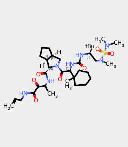 C=CCNC(=O)C(=O)C(C)NC(=O)[C@@H]1[C@H]2CCC[C@H]2CN1C(=O)[C@@H](NC(=O)N[C@H](CN(C)S(=O)(=O)N(C)C)C(C)(C)C)C1(C)CCCCC1